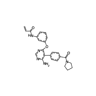 C=CC(=O)Nc1cccc(Oc2ncnc(N)c2-c2ccc(C(=O)N3CCCC3)cc2)c1